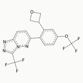 FC(F)(F)Oc1ccc(-c2ccc3nnc(C(F)(F)F)n3n2)c(C2COC2)c1